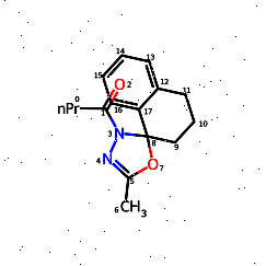 CCCC(=O)N1N=C(C)OC12CCCc1ccccc12